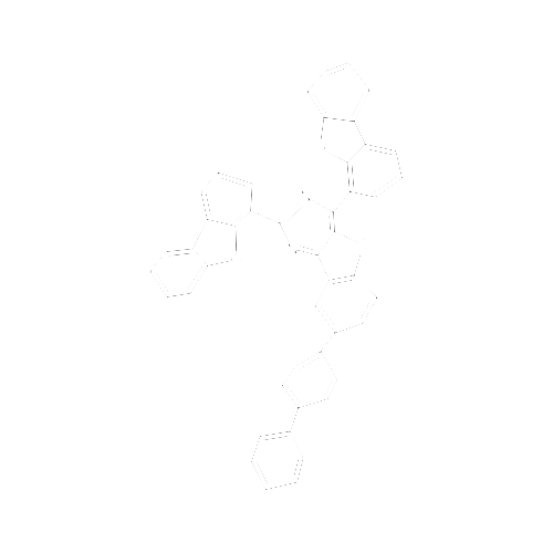 c1ccc(-c2ccc(-c3ccc4sc5c(-c6cccc7c6oc6ccccc67)nc(-c6cccc7c6oc6ccccc67)nc5c4c3)cc2)cc1